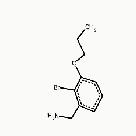 CCCOc1cccc(CN)c1Br